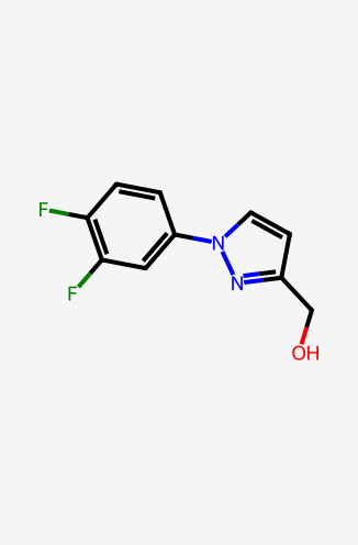 OCc1ccn(-c2ccc(F)c(F)c2)n1